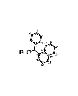 CC(C)COC(c1ccccc1)c1cccc2ccccc12